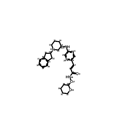 O=C(C=Cc1cnc(N[C@@H]2CCCN(C3Cc4ccccc4C3)C2)cn1)NOC1CCCCO1